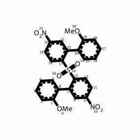 COc1ccccc1-c1cc([N+](=O)[O-])ccc1S(=O)(=O)c1ccc([N+](=O)[O-])cc1-c1ccccc1OC